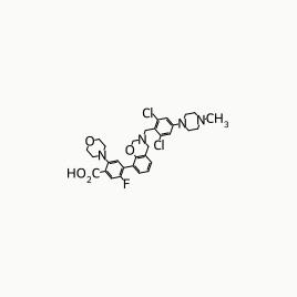 CN1CCN(c2cc(Cl)c(CN3COc4c(cccc4-c4cc(N5CCOCC5)c(C(=O)O)cc4F)C3)c(Cl)c2)CC1